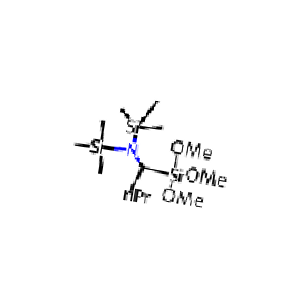 CCCC(N([Si](C)(C)C)[Si](C)(C)C)[Si](OC)(OC)OC